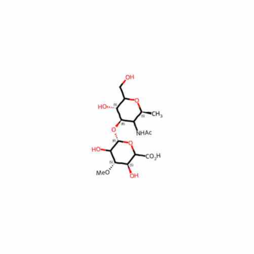 CO[C@@H]1C(O)[C@H](O[C@@H]2C(NC(C)=O)[C@H](C)OC(CO)[C@H]2O)OC(C(=O)O)[C@H]1O